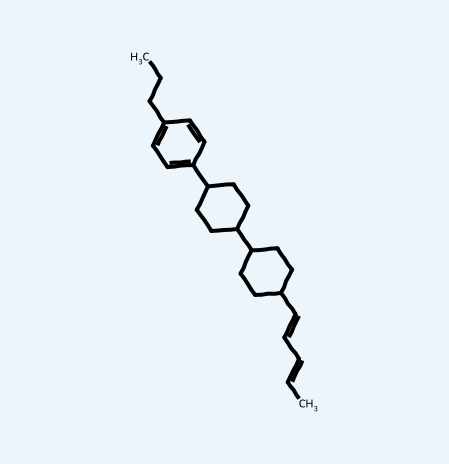 CC=CC=CC1CCC(C2CCC(c3ccc(CCC)cc3)CC2)CC1